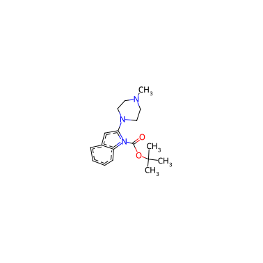 CN1CCN(c2cc3ccccc3n2C(=O)OC(C)(C)C)CC1